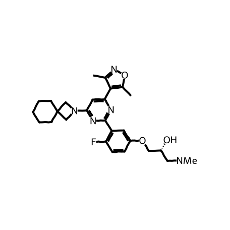 CNC[C@@H](O)COc1ccc(F)c(-c2nc(-c3c(C)noc3C)cc(N3CC4(CCCCC4)C3)n2)c1